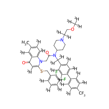 [2H]c1c([2H])c(F)c(F)c(CSc2c([2H])c(=O)c3c([2H])c(C)c([2H])c([2H])c3n2CC(=O)N(C2CCN(C([2H])([2H])COC([2H])([2H])[2H])CC2)C([2H])([2H])c2c([2H])c([2H])c(-c3c([2H])c([2H])c(C(F)(F)F)c([2H])c3[2H])c([2H])c2[2H])c1[2H]